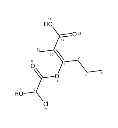 CCCC(OC(=O)C(O)Cl)=C(C)C(=O)O